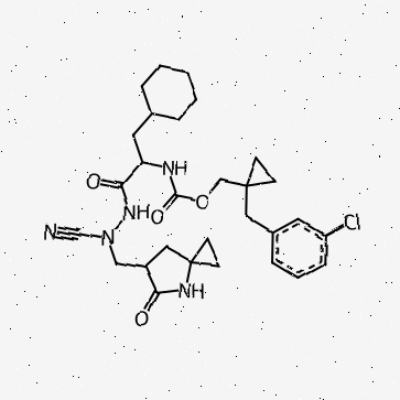 N#CN(CC1CC2(CC2)NC1=O)NC(=O)C(CC1CCCCC1)NC(=O)OCC1(Cc2cccc(Cl)c2)CC1